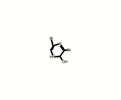 OC1NC=C(Br)N=C1Br